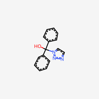 OC(c1ccccc1)(c1ccccc1)n1ccnn1